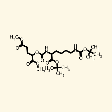 COC(=O)CCC(OC(=O)NC(CCCCNC(=O)OC(C)(C)C)C(=O)OC(C)(C)C)C(=O)OC